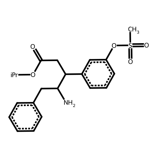 CC(C)OC(=O)CC(c1cccc(OS(C)(=O)=O)c1)C(N)Cc1ccccc1